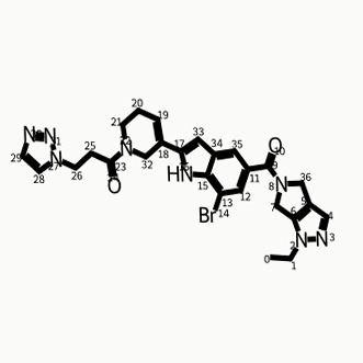 CCn1ncc2c1CN(C(=O)c1cc(Br)c3[nH]c(C4=CCCN(C(=O)CCn5ccnn5)C4)cc3c1)C2